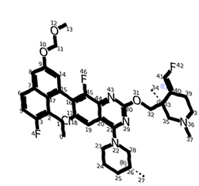 CCc1c(F)ccc2cc(OCOC)cc(-c3c(Cl)cc4c(N5CCC[C@@H](C)C5)nc(OC[C@]5(C)CN(C)CC/C5=C\F)nc4c3F)c12